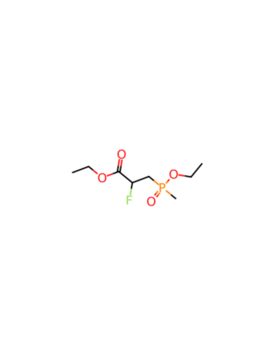 CCOC(=O)C(F)CP(C)(=O)OCC